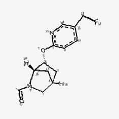 O=CN1C[C@H]2C[C@@H](Oc3ccc(CF)cn3)[C@@H]1C2